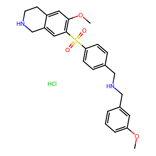 COc1cccc(CNCc2ccc(S(=O)(=O)c3cc4c(cc3OC)CCNC4)cc2)c1.Cl